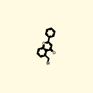 O=c1cc(-c2ccccc2)oc2cccc(CBr)c12